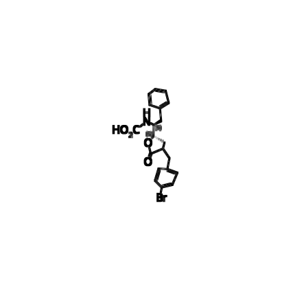 O=C(O)N[C@@H](Cc1ccccc1)[C@@H]1CC(Cc2ccc(Br)cc2)C(=O)O1